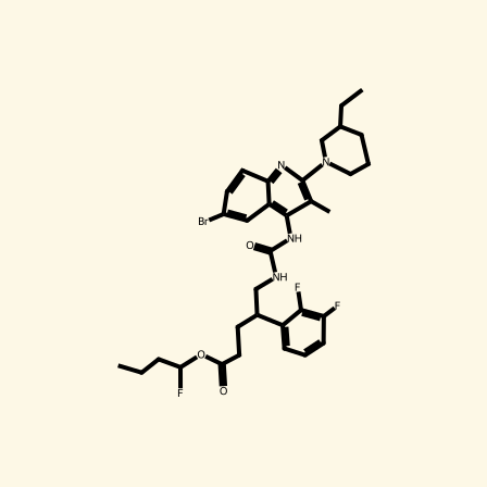 CCCC(F)OC(=O)CCC(CNC(=O)Nc1c(C)c(N2CCCC(CC)C2)nc2ccc(Br)cc12)c1cccc(F)c1F